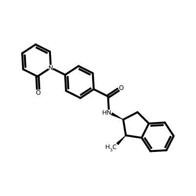 C[C@@H]1c2ccccc2C[C@@H]1NC(=O)c1ccc(-n2ccccc2=O)cc1